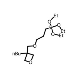 CCCCC1(COCCC[Si](OCC)(OCC)OCC)COC1